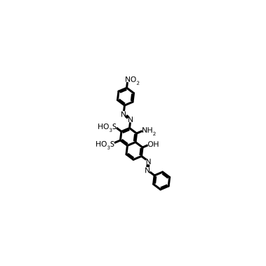 Nc1c(N=Nc2ccc([N+](=O)[O-])cc2)c(S(=O)(=O)O)c(S(=O)(=O)O)c2ccc(N=Nc3ccccc3)c(O)c12